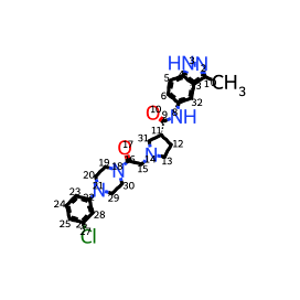 Cc1n[nH]c2ccc(NC(=O)[C@@H]3CCN(CC(=O)N4CCN(c5cccc(Cl)c5)CC4)C3)cc12